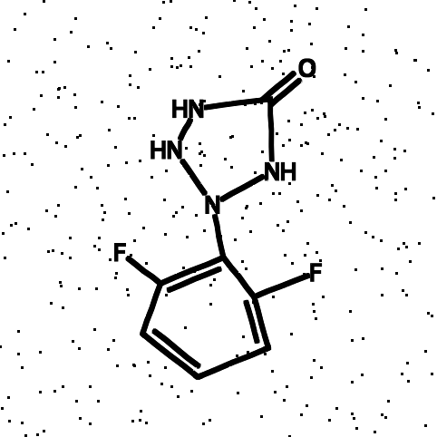 O=C1NNN(c2c(F)cccc2F)N1